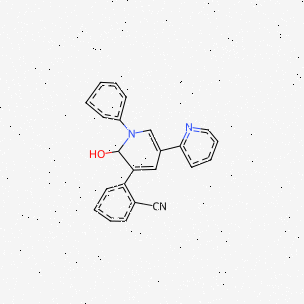 N#Cc1ccccc1C1=CC(c2ccccn2)=CN(c2ccccc2)C1O